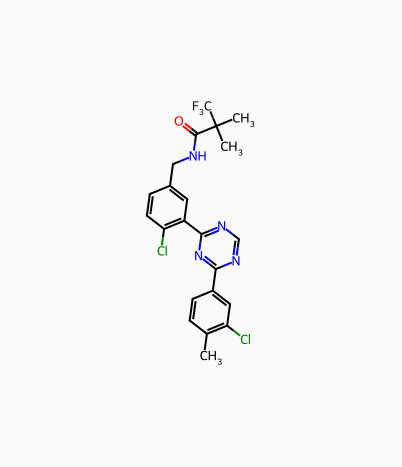 Cc1ccc(-c2ncnc(-c3cc(CNC(=O)C(C)(C)C(F)(F)F)ccc3Cl)n2)cc1Cl